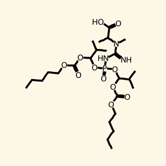 CCCCCOC(=O)OC(OP(=O)(NC(=N)N(C)C(C)C(=O)O)OC(OC(=O)OCCCCC)C(C)C)C(C)C